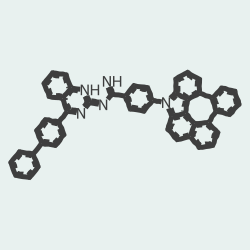 N=C(/N=c1/nc(-c2ccc(-c3ccccc3)cc2)c2ccccc2[nH]1)c1ccc(-n2c3cccc4c3c3c5c(cccc5ccc32)-c2ccccc2-4)cc1